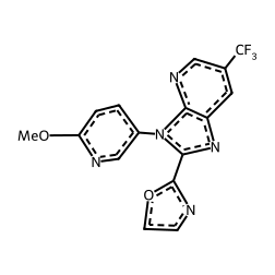 COc1ccc(-n2c(-c3ncco3)nc3cc(C(F)(F)F)cnc32)cn1